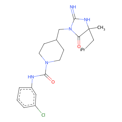 CC(C)CC1(C)NC(=N)N(CC2CCN(C(=O)Nc3cccc(Cl)c3)CC2)C1=O